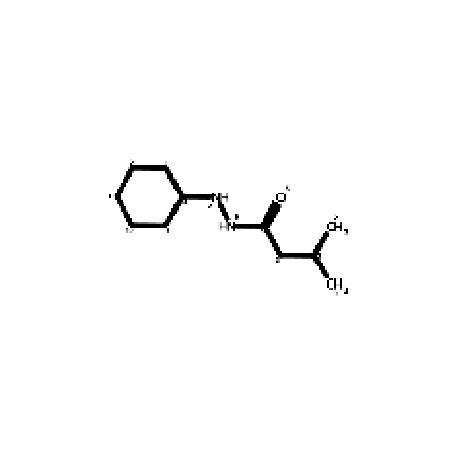 CC(C)CC(=O)NNC1CCCCC1